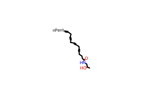 CCCCCC#CCC#CCC#CCC#CCCCC(=O)NCC(C)O